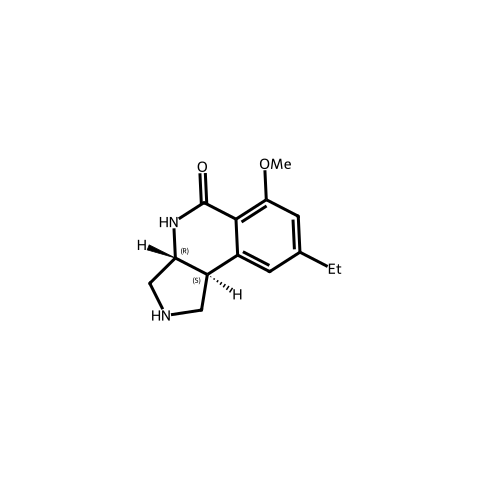 CCc1cc(OC)c2c(c1)[C@H]1CNC[C@@H]1NC2=O